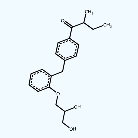 CCC(C)C(=O)c1ccc(Cc2ccccc2OCC(O)CO)cc1